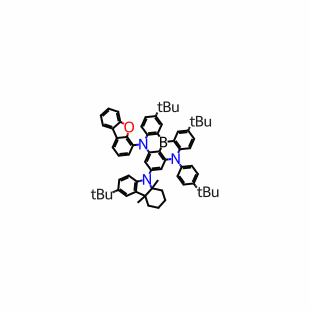 CC(C)(C)c1ccc(N2c3ccc(C(C)(C)C)cc3B3c4cc(C(C)(C)C)ccc4N(c4cccc5c4oc4ccccc45)c4cc(N5c6ccc(C(C)(C)C)cc6C6(C)CCCCC56C)cc2c43)cc1